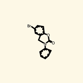 O=C1Oc2ccc(Br)cc2CN1c1ccccc1